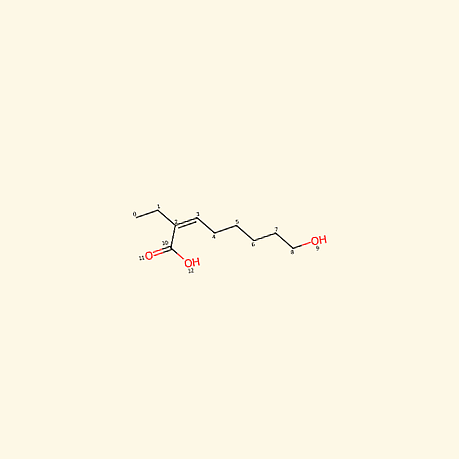 CCC(=CCCCCCO)C(=O)O